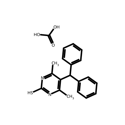 Cc1nc(S)nc(C)c1C(c1ccccc1)c1ccccc1.O=C(O)O